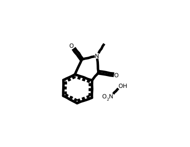 CN1C(=O)c2ccccc2C1=O.O=[N+]([O-])O